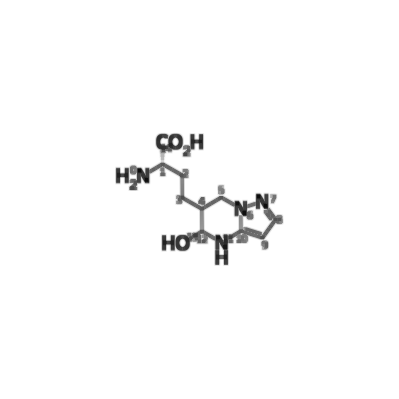 N[C@@H](CCC1Cn2nccc2NC1O)C(=O)O